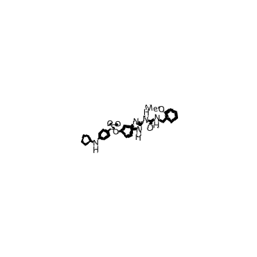 COc1ccccc1CNC(=O)Nc1nc2cc(OS(=O)(=O)c3ccc(NC4CCCC4)cc3)ccc2[nH]1